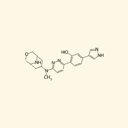 CN(c1ccc(-c2ccc(-c3cn[nH]c3)cc2O)nn1)C1CC2COCC(C1)N2